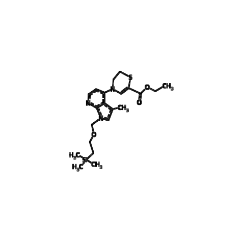 CCOC(=O)C1=CN(c2ccnc3c2c(C)cn3COCC[Si](C)(C)C)CCS1